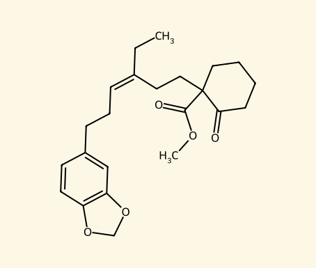 CCC(=CCCc1ccc2c(c1)OCO2)CCC1(C(=O)OC)CCCCC1=O